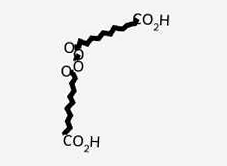 O=C(O)CCCCCCCCCCC(=O)OCOC(=O)CCCCCCCCCCC(=O)O